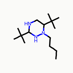 CCCCN1NC(C(C)(C)C)NCC1C(C)(C)C